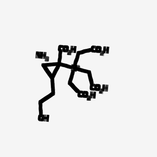 N.O=C(O)C[N+](CC(=O)O)(CC(=O)O)C1(C(=O)O)CC1CCO